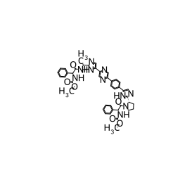 COC(=O)N[C@@H](C(=O)N[C@@H](C)c1ncc(-c2cnc(-c3ccc(-c4cnc([C@@H]5CCCN5C(=O)[C@H](NC(=O)OC)c5ccccc5)[nH]4)cc3)cn2)[nH]1)c1ccccc1